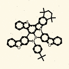 CC(C)(C)c1ccc(N2B3c4cc5oc6ccccc6c5cc4-n4c5cc6c(cc5c5c7sc8ccccc8c7c(c3c54)-c3cc4c(cc32)oc2ccccc24)C(C)(C)CCC6(C)C)cc1